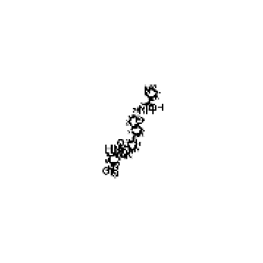 N#Cc1cc([N+](=O)[O-])ccc1NS(=O)(=O)c1cccc(-c2ccc3c(c2)CC[C@H](CNC[C@@H](O)c2cccnc2)O3)c1